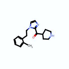 Cc1ccccc1CCn1ccnc1C(=O)C1CCNCC1